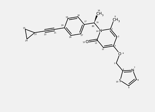 Cc1cc(OCc2nccs2)cc(=O)n1[C@H](C)c1ccc(C#CC2CC2)cc1